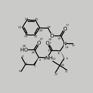 CC(C)C[C@H](NC(=O)[C@@H](CC(C)(C)C)N(C)C(=O)OCc1ccccc1)C(=O)O